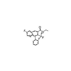 CCOC(=O)c1cc2cc(F)cnc2c(-c2ccccc2)c1C(F)(F)F